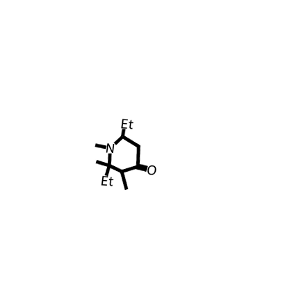 CCC1CC(=O)C(C)C(C)(CC)N1C